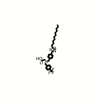 CCCCCCCCCCCc1nc(-c2ccc(CN(CC(=O)O)Cc3ccc(C(F)(F)F)cc3)cc2)no1